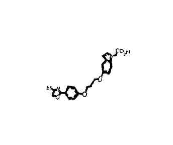 CCc1coc(-c2ccc(OCCCOc3ccc4c(ccn4CC(=O)O)c3)cc2)n1